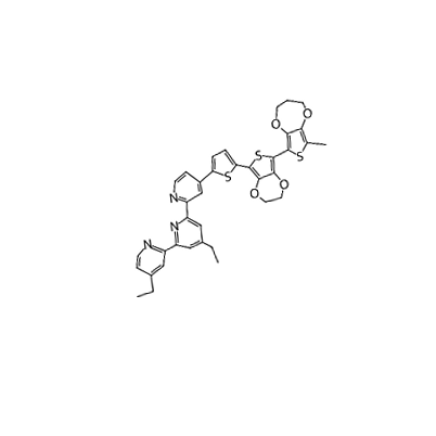 CCc1ccnc(-c2cc(CC)cc(-c3cc(-c4ccc(-c5sc(-c6sc(C)c7c6OCCCO7)c6c5OCCO6)s4)ccn3)n2)c1